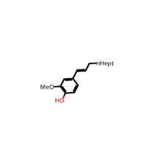 CCCCCCCCC=Cc1ccc(O)c(OC)c1